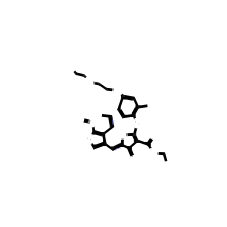 C=Nc1[nH]cc(/C=C2\OC(Nc3ccc(OCCOCCO)cc3C)=C(C(=O)OCC)C2=O)c1/C=C\C